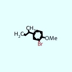 C=C[C](C)c1ccc(OC)c(Br)c1